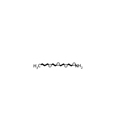 CCCCOCCOCCOCCON